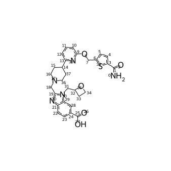 NC(=O)c1ccc(COc2cccc(C3CCN(Cc4nc5ccc(C(=O)O)cc5n4CC4CCO4)CC3)n2)s1